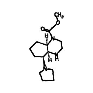 COC(=O)N1CCN[C@@H]2[C@H]1CCC[C@@H]2N1CCCC1